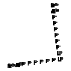 [Al+3].[Al+3].[F-].[F-].[F-].[F-].[F-].[F-].[F-].[F-].[F-].[F-].[F-].[F-].[Li+].[Li+].[Sr+2].[Sr+2]